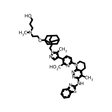 Cc1c(Nc2nc3ccccc3s2)nnc2c1CCCN2c1ccc(-c2cnn(CC34CC5CC(C3)CC(OCCN(C)CCCO)(C5)C4)c2C)c(C(=O)O)n1